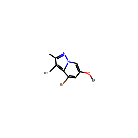 CCOc1cc(Br)c2c(C=O)c(C)nn2c1